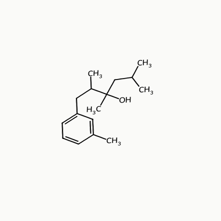 Cc1cccc(CC(C)C(C)(O)CC(C)C)c1